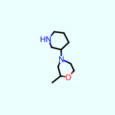 CC1CN(C2CCCNC2)CCO1